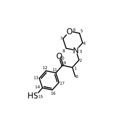 CC(CN1CCOCC1)C(=O)c1ccc(S)cc1